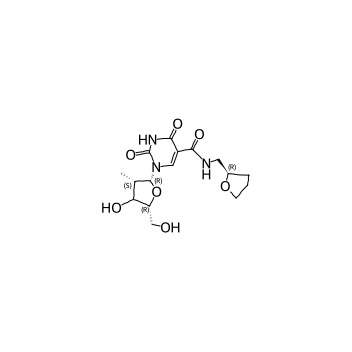 C[C@H]1C(O)[C@@H](CO)O[C@H]1n1cc(C(=O)NC[C@H]2CCCO2)c(=O)[nH]c1=O